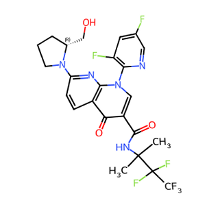 CC(C)(NC(=O)c1cn(-c2ncc(F)cc2F)c2nc(N3CCC[C@@H]3CO)ccc2c1=O)C(F)(F)C(F)(F)F